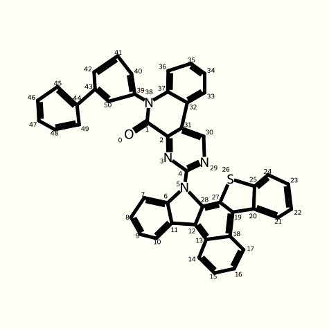 O=c1c2nc(-n3c4ccccc4c4c5ccccc5c5c6ccccc6sc5c43)ncc2c2ccccc2n1-c1cccc(-c2ccccc2)c1